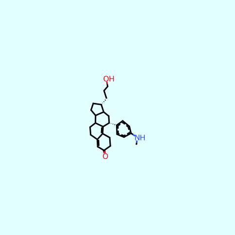 CNc1ccc([C@H]2CC3C(CC[C@@H]3CCCO)C3CCC4=CC(=O)CCC4=C32)cc1